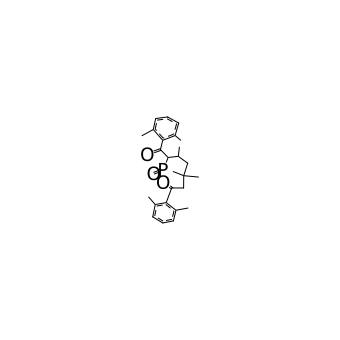 Cc1cccc(C)c1C(=O)CC(C)(C)CC(C)C(P=O)C(=O)c1c(C)cccc1C